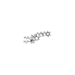 CC1C2CCC3C4CC=C5CC(OC(=O)Cc6ccccc6)CCC5(C)C4CCC32CN1C